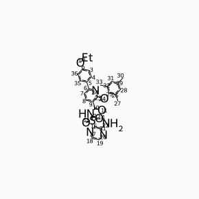 CCOc1ccc(-c2ccc(C(=O)NS(=O)(=O)c3nccnc3N)c(Oc3c(C)cc(C)cc3C)n2)cc1